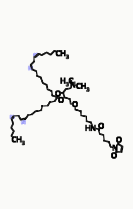 CCCCC/C=C\C/C=C\CCCCCCCCC1(CCCCCCCC/C=C\C/C=C\CCCCC)OC(CCOCCCCCCNC(=O)CCCCCN2C(=O)C=CC2=O)C(CCN(C)C)O1